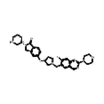 O=C1c2ccc(O[C@H]3CCN(Cc4cc5cnc(N6CCOCC6)nc5cc4F)C3)cc2CN1[C@H]1CCCNC1